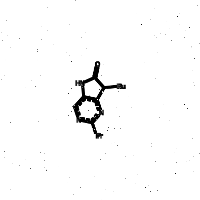 CCC(C)C1C(=O)Nc2cnc(C(C)C)nc21